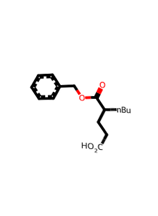 CCCCC(CCC(=O)O)C(=O)OCc1ccccc1